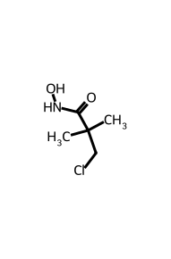 CC(C)(CCl)C(=O)NO